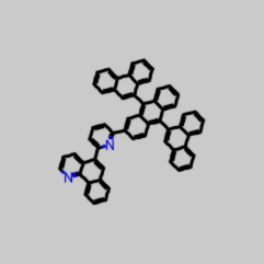 c1cc(-c2ccc3c(-c4cc5ccccc5c5ccccc45)c4ccccc4c(-c4cc5ccccc5c5ccccc45)c3c2)nc(-c2cc3ccccc3c3ncccc23)c1